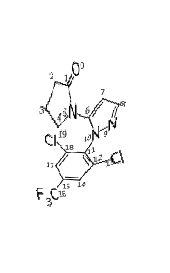 O=C1CCCN1c1ccnn1-c1c(Cl)cc(C(F)(F)F)cc1Cl